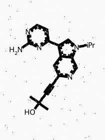 CC(C)n1cc(-c2ccnc(N)n2)c2cc(C#CC(C)(C)O)ncc21